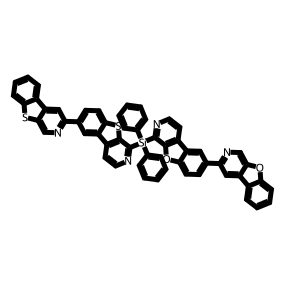 c1ccc([Si](c2ccccc2)(c2nccc3c2oc2ccc(-c4cc5c(cn4)oc4ccccc45)cc23)c2nccc3c2sc2ccc(-c4cc5c(cn4)sc4ccccc45)cc23)cc1